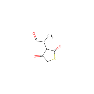 CC(C=O)C1C(=O)CSC1=O